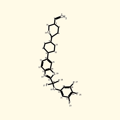 C=CC1CCC(C2CCC(c3ccc4nc(C(F)(F)Oc5cc(F)c(F)c(F)c5)sc4c3)CC2)OC1